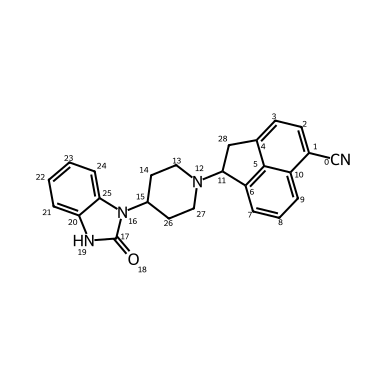 N#Cc1ccc2c3c(cccc13)C(N1CCC(n3c(=O)[nH]c4ccccc43)CC1)C2